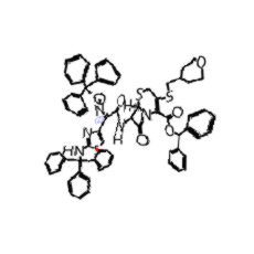 O=C(OC(c1ccccc1)c1ccccc1)C1=C(SCC2CCOCC2)CS[C@H]2C(NC(=O)/C(=N\OC(c3ccccc3)(c3ccccc3)c3ccccc3)c3csc(NC(c4ccccc4)(c4ccccc4)c4ccccc4)n3)C(=O)N12